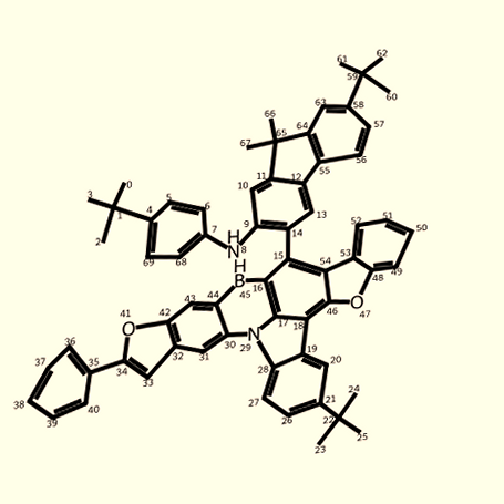 CC(C)(C)c1ccc(Nc2cc3c(cc2-c2c4c5c(c6cc(C(C)(C)C)ccc6n5-c5cc6cc(-c7ccccc7)oc6cc5B4)c4oc5ccccc5c24)-c2ccc(C(C)(C)C)cc2C3(C)C)cc1